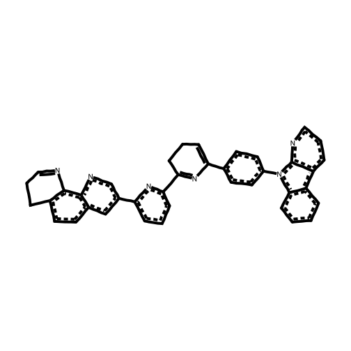 C1=Nc2c(ccc3cc(-c4cccc(C5=NC(c6ccc(-n7c8ccccc8c8cccnc87)cc6)=CCC5)n4)cnc23)CC1